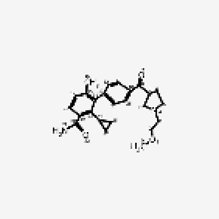 COCCN1CCC(C(=O)c2ccc(-c3c(C)ccc(C(N)=O)c3C3CC3)cc2)C1